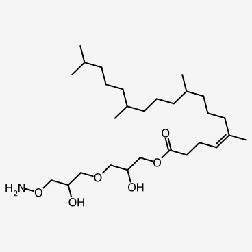 CC(=CCCC(=O)OCC(O)COCC(O)CON)CCCC(C)CCCC(C)CCCC(C)C